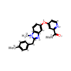 CNC(=O)c1cc(Oc2ccc3c(c2)nc(Cc2ccc(OC)cc2)n3C)ccn1